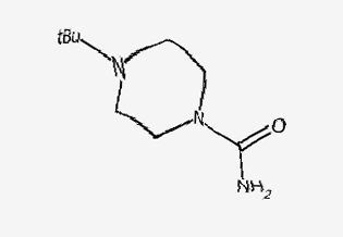 CC(C)(C)N1CCN(C(N)=O)CC1